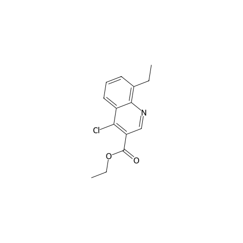 CCOC(=O)c1cnc2c(CC)cccc2c1Cl